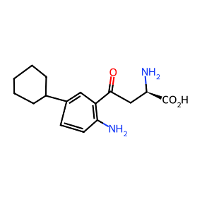 Nc1ccc(C2CCCCC2)cc1C(=O)C[C@@H](N)C(=O)O